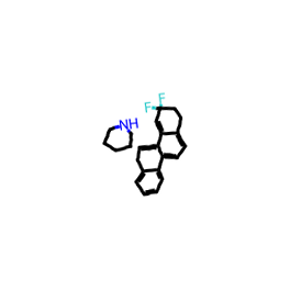 C1CCNCC1.FC1(F)C=c2c(ccc3c2=CCc2ccccc2-3)CC1